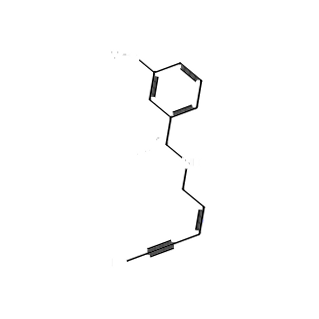 COc1cccc([C@@H](C)NC/C=C\C#CC(C)(C)C)c1